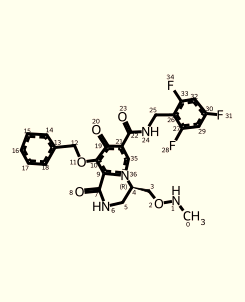 CNOC[C@H]1CNC(=O)c2c(OCc3ccccc3)c(=O)c(C(=O)NCc3c(F)cc(F)cc3F)cn21